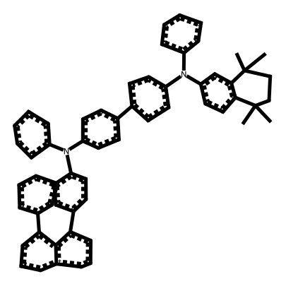 CC1(C)CCC(C)(C)c2cc(N(c3ccccc3)c3ccc(-c4ccc(N(c5ccccc5)c5ccc(-c6cccc7cccc(-c8ccccc8)c67)cc5)cc4)cc3)ccc21